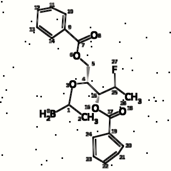 BC(C)O[C@H](COC(=O)c1ccccc1)[C@@H](OC(=O)c1ccccc1)C(C)F